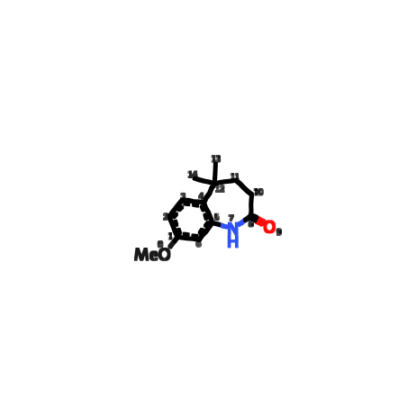 COc1ccc2c(c1)NC(=O)CCC2(C)C